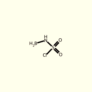 BNS(=O)(=O)Cl